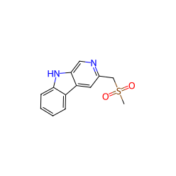 CS(=O)(=O)Cc1cc2c(cn1)[nH]c1ccccc12